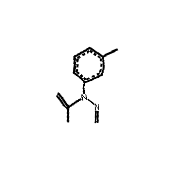 C=NN(C(=C)C)c1cccc(C)c1